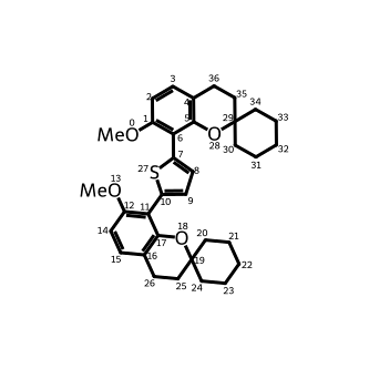 COc1ccc2c(c1-c1ccc(-c3c(OC)ccc4c3OC3(CCCCC3)CC4)s1)OC1(CCCCC1)CC2